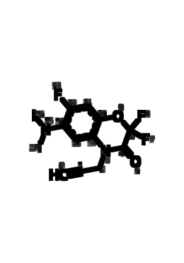 C#CCN1C(=O)C(F)(F)Oc2cc(F)c(N(I)I)cc21